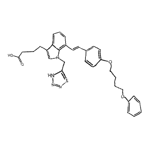 O=C(O)CCCc1cn(Cc2nnn[nH]2)c2c(C=Cc3ccc(OCCCCOc4ccccc4)cc3)cccc12